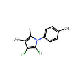 CC(=O)c1c(Cl)c(Cl)n(-c2ccc(C#N)cc2)c1C